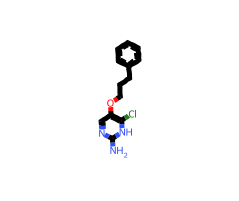 NC1N=CC(OCCCc2ccccc2)=C(Cl)N1